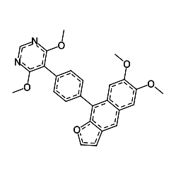 COc1cc2cc3ccoc3c(-c3ccc(-c4c(OC)ncnc4OC)cc3)c2cc1OC